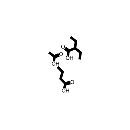 CC(=O)O.CCC(CC)C(=O)O.CCCC(=O)O